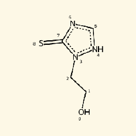 OCCn1[nH]cnc1=S